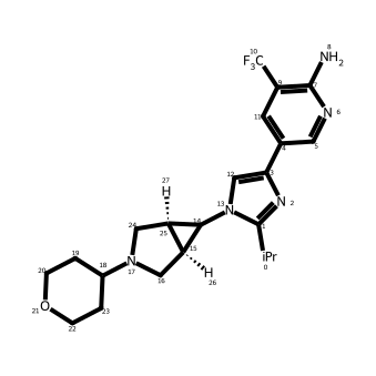 CC(C)c1nc(-c2cnc(N)c(C(F)(F)F)c2)cn1C1[C@H]2CN(C3CCOCC3)C[C@@H]12